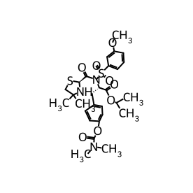 COc1cccc(S(=O)(=O)N(C(=O)[C@H]2NC(C)(C)CS2)[C@@H](Cc2ccc(OC(=O)N(C)C)cc2)C(=O)OC(C)C)c1